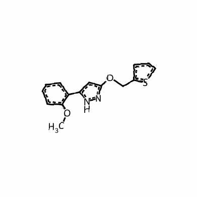 COc1ccccc1-c1cc(OCc2cccs2)n[nH]1